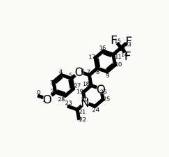 COc1ccc(OC(c2ccc(C(F)(F)F)cc2)C2CN(C(C)C)CCO2)cc1